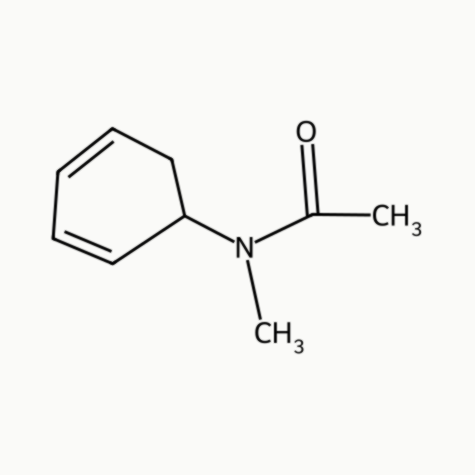 CC(=O)N(C)C1C=CC=CC1